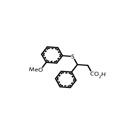 COc1cccc(SC(CC(=O)O)c2ccccc2)c1